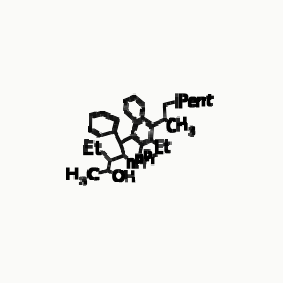 CCCc1c(CC)c(C(C)CC(C)CCC)c2ccccc2c1C(C1=C=C=CC=C1)C(CCC)C(CC)C(C)O